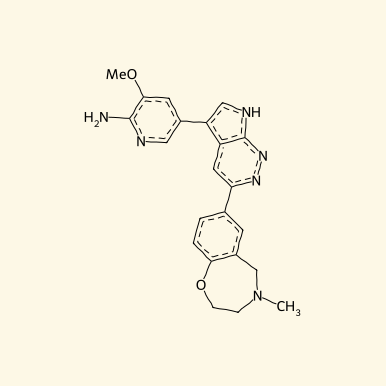 COc1cc(-c2c[nH]c3nnc(-c4ccc5c(c4)CN(C)CCO5)cc23)cnc1N